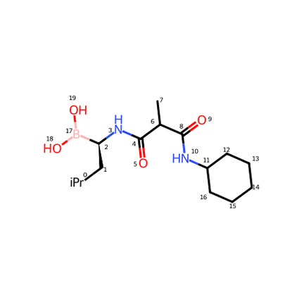 CC(C)C[C@H](NC(=O)C(C)C(=O)NC1CCCCC1)B(O)O